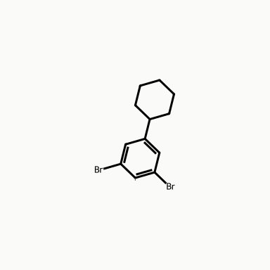 Brc1[c]c(Br)cc(C2CCCCC2)c1